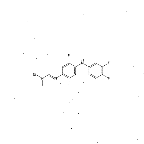 CCN(C)C=Nc1cc(F)c(Nc2ccc(F)c(F)c2)cc1C